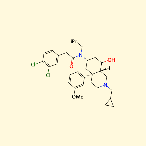 COc1cccc([C@@]23CCN(CC4CC4)C[C@H]2C(O)C[C@@H](N(CC(C)C)C(=O)Cc2ccc(Cl)c(Cl)c2)C3)c1